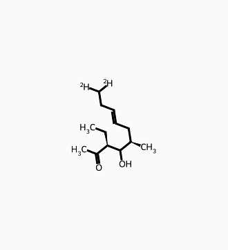 [2H]C([2H])CC=CC[C@@H](C)C(O)[C@H](CC)C(C)=O